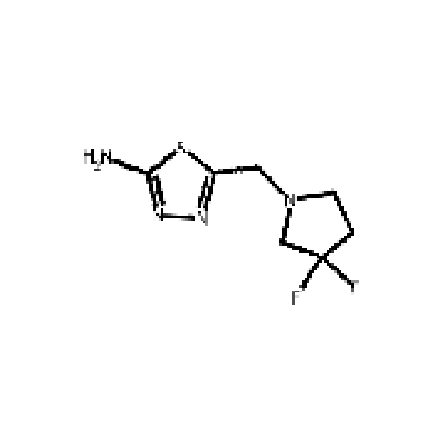 Nc1nnc(CN2CCC(F)(F)C2)s1